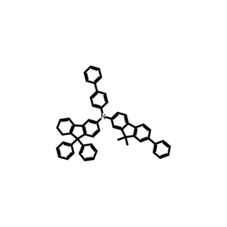 CC1(C)c2cc(-c3ccccc3)ccc2-c2ccc(N(c3ccc(-c4ccccc4)cc3)c3ccc4c(c3)C3=C(CCC=C3)C4(c3ccccc3)c3ccccc3)cc21